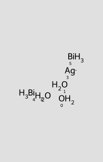 O.O.O.[Ag].[BiH3].[BiH3]